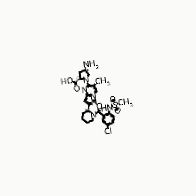 Cc1cn2nc([C@@H]3CCCCN3C(=O)c3cc(Cl)ccc3NS(C)(=O)=O)cc2nc1N1C[C@@H](N)C[C@@H]1C(=O)O